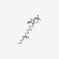 CCCCOC(=O)CCCCCCC1=C[C@H](O[Si](C)(C)C)CC1=O